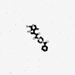 O=C(C(=O)N1CCN(C(=O)c2ccccc2)CC1)c1c[nH]c2c(Br)ncc(F)c12